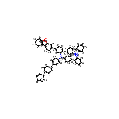 c1ccc(-c2ccc(-c3ccc(N(c4ccc(-c5ccccc5-n5c6ccccc6c6ccccc65)cc4)c4cccc(-c5ccc6c(c5)oc5ccccc56)c4)cc3)cc2)cc1